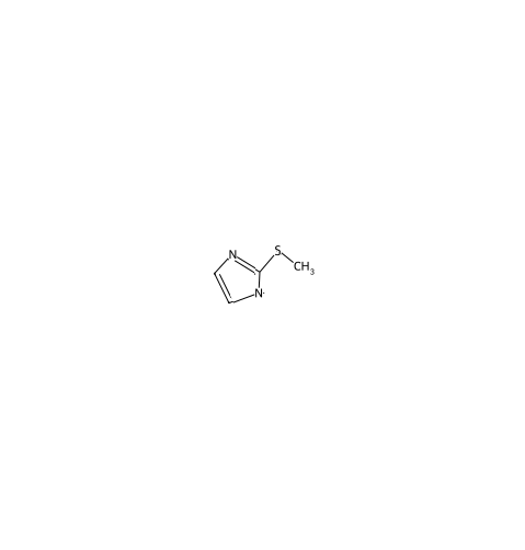 CSC1=NC=C[N]1